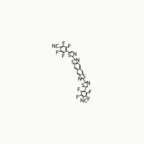 N#Cc1c(F)c(F)c(-c2cnc(-c3nc4cc5cc6sc(-c7ncc(-c8c(F)c(F)c(C#N)c(F)c8F)s7)nc6cc5cc4s3)s2)c(F)c1F